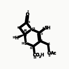 CC(=O)OCC1=C(S)N2C(=O)C[C@H]2SC1C(=O)O